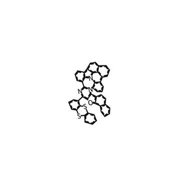 c1ccc2c(c1)Sc1cccc(-c3nc(-c4cccc5c6ccc7cccc8c9ccccc9n(c45)c6c78)nc4c3oc3c5ccccc5ccc43)c1S2